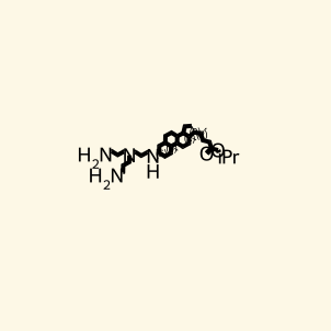 CC(C)OC(=O)CC[C@@H](C)[C@H]1CCC2C3CCC4C[C@@H](NCCCN(CCCN)CCCN)CC[C@]4(C)C3CC[C@@]21C